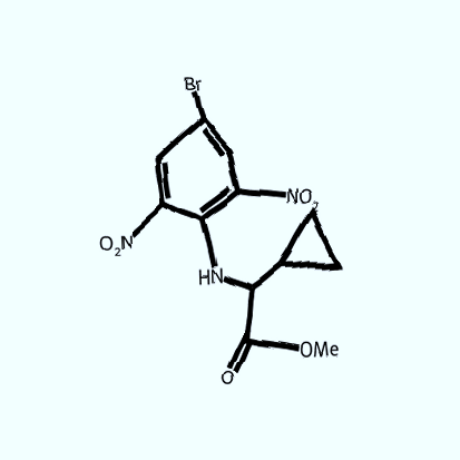 COC(=O)C(Nc1c([N+](=O)[O-])cc(Br)cc1[N+](=O)[O-])C1CC1